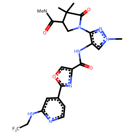 CNC(=O)C1CN(c2nn(C)cc2NC(=O)c2coc(-c3ccnc(NCC(F)(F)F)c3)n2)C(=O)C1(C)C